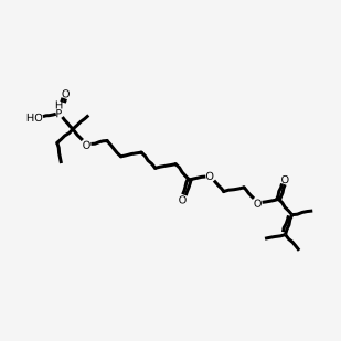 CCC(C)(OCCCCCC(=O)OCCOC(=O)C(C)=C(C)C)[PH](=O)O